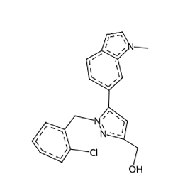 Cn1ccc2ccc(-c3cc(CO)nn3Cc3ccccc3Cl)cc21